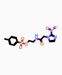 Cc1ccc(S(=O)(=O)OCCNC(=O)Cn2ccnc2[N+](=O)[O-])cc1